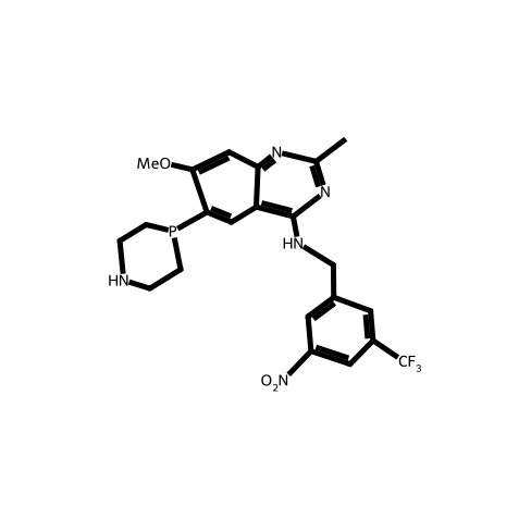 COc1cc2nc(C)nc(NCc3cc([N+](=O)[O-])cc(C(F)(F)F)c3)c2cc1P1CCNCC1